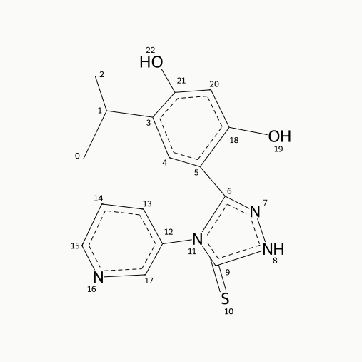 CC(C)c1cc(-c2n[nH]c(=S)n2-c2cccnc2)c(O)cc1O